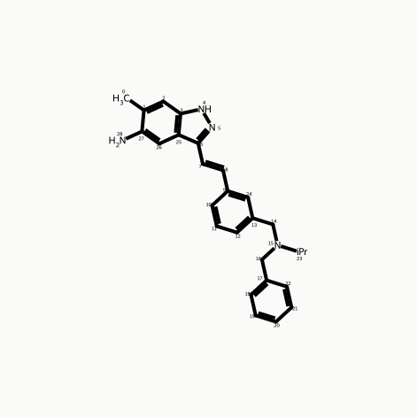 Cc1cc2[nH]nc(C=Cc3cccc(CN(Cc4ccccc4)C(C)C)c3)c2cc1N